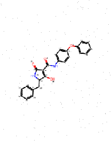 O=C(Nc1ccc(Oc2ccccc2)cc1)C1=C(O)C(Cc2ccccc2)NC1=O